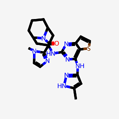 Cc1cc(Nc2nc(NC3CC4CCCC(C3)N4C(=O)c3nccn3C)nc3ccsc23)n[nH]1